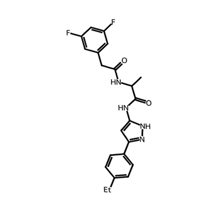 CCc1ccc(-c2cc(NC(=O)C(C)NC(=O)Cc3cc(F)cc(F)c3)[nH]n2)cc1